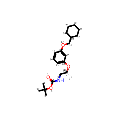 C[C@H](CNC(=O)OC(C)(C)C)Oc1cccc(OCC2CCCCC2)c1